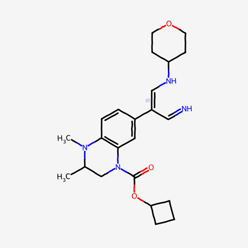 CC1CN(C(=O)OC2CCC2)c2cc(/C(C=N)=C/NC3CCOCC3)ccc2N1C